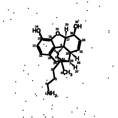 C[N+]1(CCCN)CC[C@]23c4c5ccc(O)c4O[C@H]2[C@@H](O)C=C[C@H]3[C@H]1C5